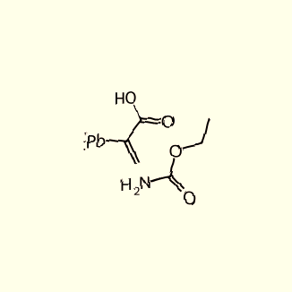 C=[C]([Pb])C(=O)O.CCOC(N)=O